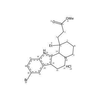 CCC1(CCC(=O)OC)CCCN2CCc3c([nH]c4ccc(Br)cc34)C21.Cl